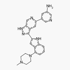 CN1CCN(c2cccc3[nH]c(-c4n[nH]c5cnc(-c6cncc(N)c6)cc45)cc23)CC1